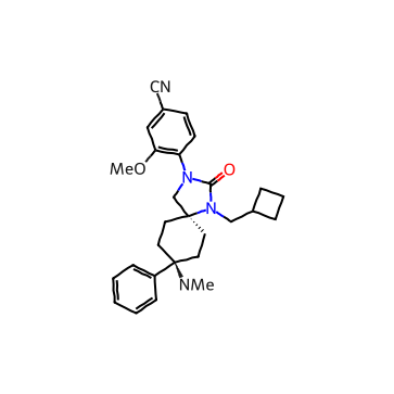 CN[C@]1(c2ccccc2)CC[C@]2(CC1)CN(c1ccc(C#N)cc1OC)C(=O)N2CC1CCC1